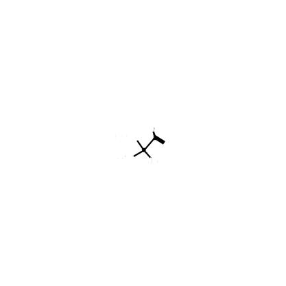 CCCC(=O)C(CC)(C(=O)O)C(=O)O